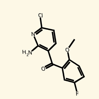 COc1ccc(F)cc1C(=O)c1ccc(Cl)nc1N